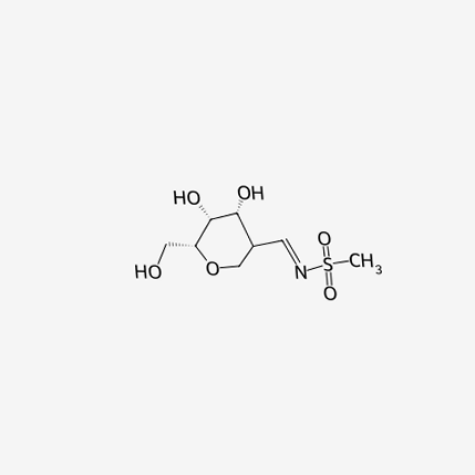 CS(=O)(=O)/N=C/C1CO[C@H](CO)[C@H](O)[C@@H]1O